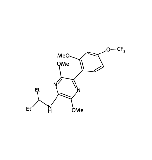 CCC(CC)Nc1nc(OC)c(-c2ccc(OC(F)(F)F)cc2OC)nc1OC